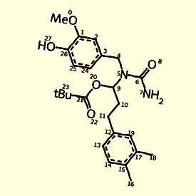 COc1cc(CN(C(N)=O)C(CCc2ccc(C)c(C)c2)OC(=O)C(C)(C)C)ccc1O